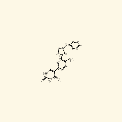 Cc1nnc(-c2c[nH]c(=O)[nH]c2=O)cc1N1CCC(Cc2ccccc2)C1